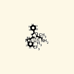 CC(C)(CN)C(=O)N[C@H](CCc1ccccc1)c1nnc2ccc(C(F)(F)F)cn12